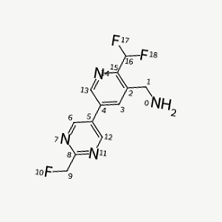 NCc1cc(-c2cnc(CF)nc2)cnc1C(F)F